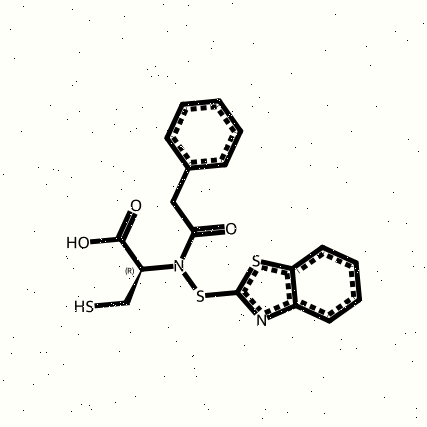 O=C(O)[C@H](CS)N(Sc1nc2ccccc2s1)C(=O)Cc1ccccc1